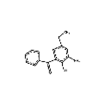 CCc1cc(N)c(O)c(C(=O)c2ccccc2)c1